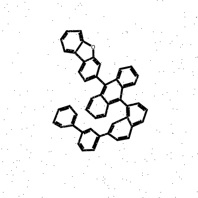 c1ccc(-c2cccc(-c3ccc4cccc(-c5c6ccccc6c(-c6ccc7c(c6)oc6ccccc67)c6ccccc56)c4c3)c2)cc1